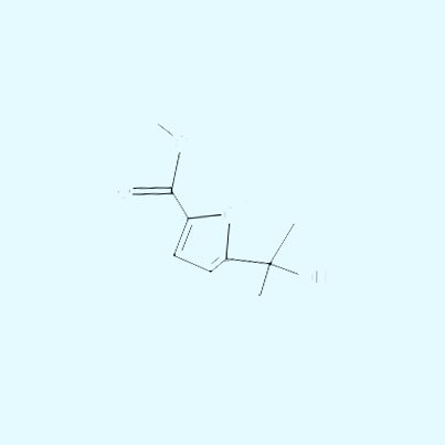 COC(=O)c1ccc(C(C)(C)O)o1